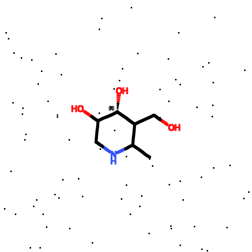 CC1NCC(O)[C@H](O)C1CO